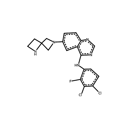 Fc1c(Nc2ncnc3ccc(N4CC5(CCN5)C4)cc23)ccc(Cl)c1Cl